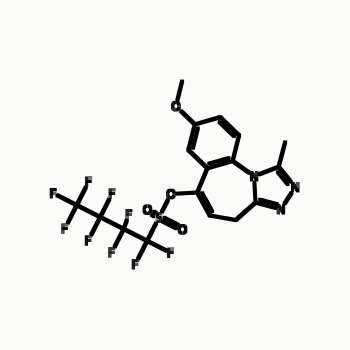 COc1ccc2c(c1)C(OS(=O)(=O)C(F)(F)C(F)(F)C(F)(F)C(F)(F)F)=CCc1nnc(C)n1-2